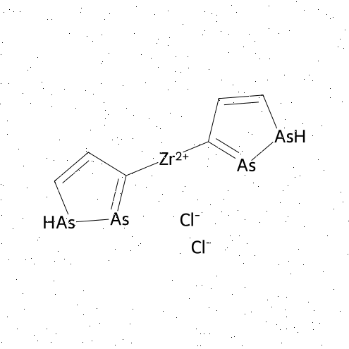 C1=C[C]([Zr+2][C]2=[As][AsH]C=C2)=[As][AsH]1.[Cl-].[Cl-]